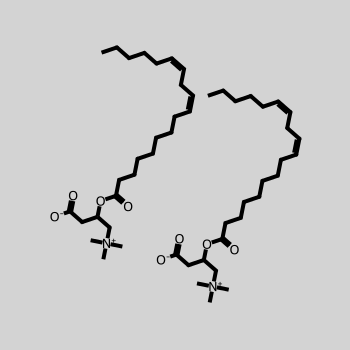 CCCCC/C=C\C/C=C\CCCCCCCC(=O)OC(CC(=O)[O-])C[N+](C)(C)C.CCCCC/C=C\C/C=C\CCCCCCCC(=O)OC(CC(=O)[O-])C[N+](C)(C)C